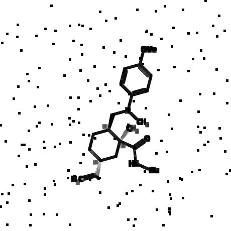 C=C[C@@H]1CC[C@@H](CN(C)c2ccc(OC)cc2)[C@@](C)(C(=O)NC(C)(C)C)C1